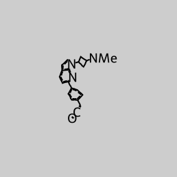 CNC1CC(n2ccc3ccc(-c4ccc(C=C=O)cc4)nc32)C1